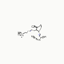 CCCCCC(O)/C=C/C1CCC(=O)C1C/C=C/CCCC(=O)O